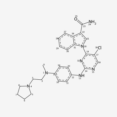 CN(CCN1CCCC1)c1ccc(Nc2ncc(Cl)c(-n3cc(C(N)=O)c4ccccc43)n2)cc1